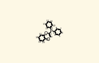 C1=C(P(c2ccccc2)c2ccccc2)Oc2ccccc2O1